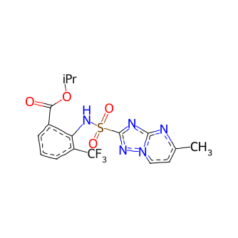 Cc1ccn2nc(S(=O)(=O)Nc3c(C(=O)OC(C)C)cccc3C(F)(F)F)nc2n1